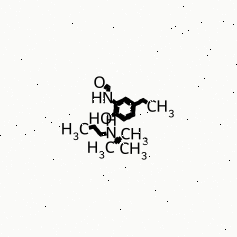 CCCNC(C)(C)C.CCc1ccc(O)c(NC=O)c1